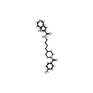 O=C(NCCCCC1CCN(C(=O)c2ccc(Cl)cc2)CC1)c1cc2cnccc2[nH]1